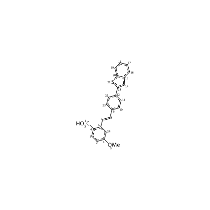 COc1ccc(C(=O)O)c(C=Cc2ccc(-c3cc4ccccc4s3)cc2)c1